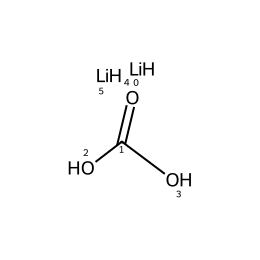 O=C(O)O.[LiH].[LiH]